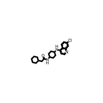 O=C(CC1CCCCC1)NC1CCC(Nc2ccnc3cc(Cl)ccc23)CC1